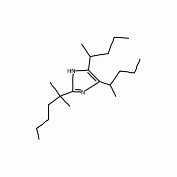 CCCCC(C)(C)c1nc(C(C)CCC)c(C(C)CCC)[nH]1